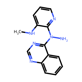 CNc1cccnc1N(N)c1ncnc2ccccc12